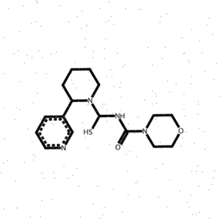 O=C(NC(S)N1CCCCC1c1cccnc1)N1CCOCC1